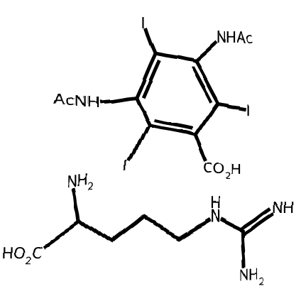 CC(=O)Nc1c(I)c(NC(C)=O)c(I)c(C(=O)O)c1I.N=C(N)NCCCC(N)C(=O)O